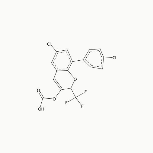 O=C(O)OC1=Cc2cc(Cl)cc(-c3ccc(Cl)cc3)c2OC1C(F)(F)F